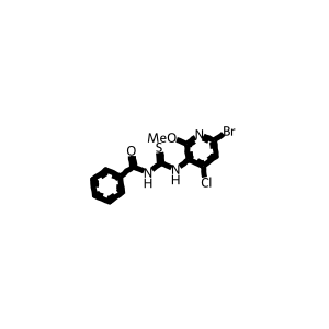 COc1nc(Br)cc(Cl)c1NC(=S)NC(=O)c1ccccc1